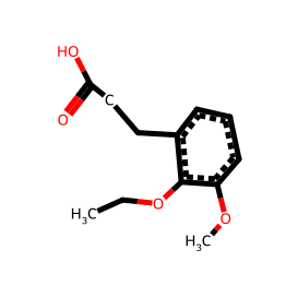 CCOc1c(CCC(=O)O)cccc1OC